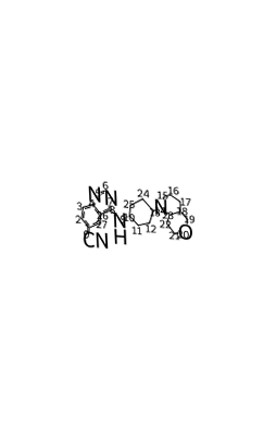 N#Cc1ccc2ncnc(N[C@H]3CC[C@H](N4CCCC5COCCC54)CC3)c2c1